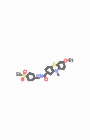 CCOc1ccc2c(c1)Sc1ccc(C(=O)NCc3ccc(S(=O)(=O)CC)cc3)cc1N2C